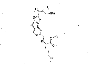 CN(CC(C)(C)C)C(=O)c1cn2c(nc3ccc(CNC(CCCO)C(=O)OC(C)(C)C)cc32)s1